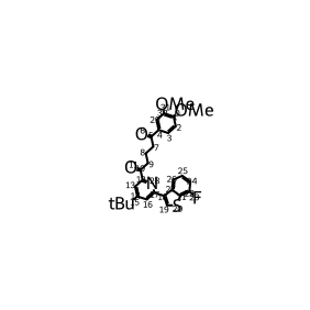 COc1ccc(C(=O)CCCC(=O)c2cc(C(C)(C)C)cc(-c3csc4c(F)cccc34)n2)cc1OC